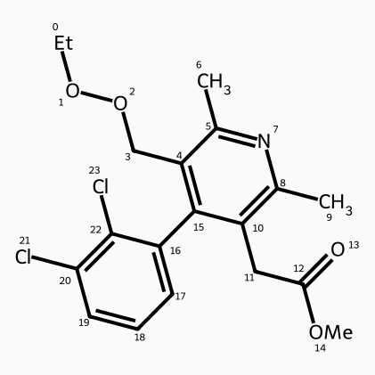 CCOOCc1c(C)nc(C)c(CC(=O)OC)c1-c1cccc(Cl)c1Cl